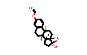 C=COc1ccc2c(c1)CC[C@@H]1[C@@H]2CC[C@@]2(C)[C@H]1CC[C@]2(O)I